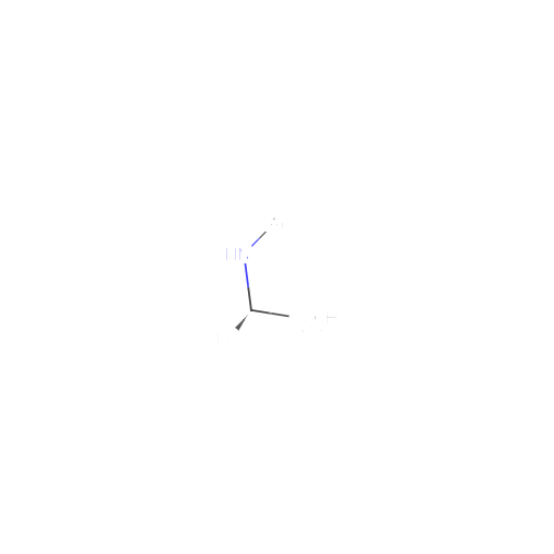 CC[C@@H](NC(C)=O)C(=O)O